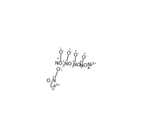 O=[N+]([O-])[O-].O=[N+]([O-])[O-].O=[N+]([O-])[O-].O=[N+]([O-])[O-].O=[N+]([O-])[O-].[La+3].[Ni+2]